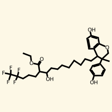 CCOC(=O)C(CCCC(F)(F)C(F)(F)F)C(O)CCCCCCCCC1c2ccc(O)cc2OCC1(C)c1ccc(O)cc1